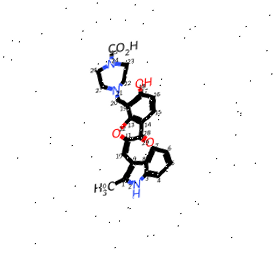 Cc1[nH]c2ccccc2c1C=C1Oc2c(ccc(O)c2CN2CCN(C(=O)O)CC2)C1=O